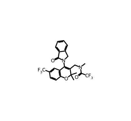 CN(CC1=C(N2Cc3ccccc3C2=O)c2cc(C(F)(F)F)ccc2OC1(C)C)C(=O)C(F)(F)F